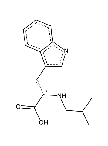 CC(C)CN[C@@H](Cc1c[nH]c2ccccc12)C(=O)O